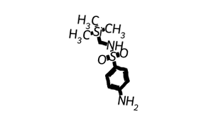 C[Si](C)(C)CNS(=O)(=O)c1ccc(N)cc1